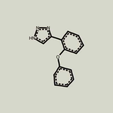 c1ccc(Oc2ccccc2-c2c[nH]nn2)cc1